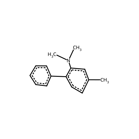 Cc1ccc(-c2ccccc2)c(N(C)C)c1